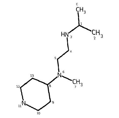 CC(C)NCCN(C)C1CC[N]CC1